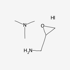 CN(C)C.I.NCC1CO1